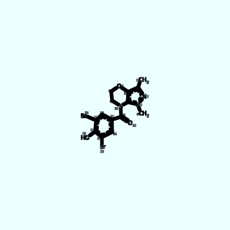 Cc1nn(C)c2c1OCCN2C(=O)c1cc(Br)c(O)c(Br)c1